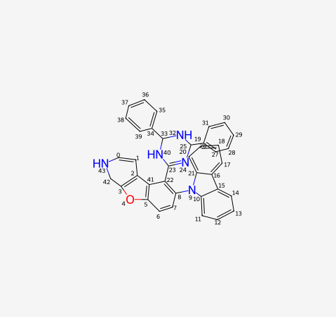 C1=Cc2c(oc3ccc(-n4c5ccccc5c5ccccc54)c(C4=NC(c5ccccc5)NC(c5ccccc5)N4)c23)CN1